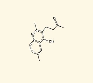 CC(=O)CCc1c(C)nc2ccc(C)cc2c1O